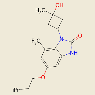 CC(C)CCOc1cc(C(F)(F)F)c2c(c1)[nH]c(=O)n2C1CC(C)(O)C1